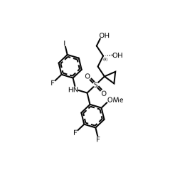 COc1cc(F)c(F)cc1C(Nc1ccc(I)cc1F)S(=O)(=O)C1(C[C@@H](O)CO)CC1